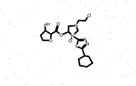 CCCC1CCOC1C(=O)OC1CN(CCCl)C[N+]1([O-])c1nnc(C2CCCCC2)s1